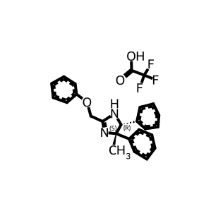 C[C@@]1(c2ccccc2)N=C(COc2ccccc2)N[C@@H]1c1ccccc1.O=C(O)C(F)(F)F